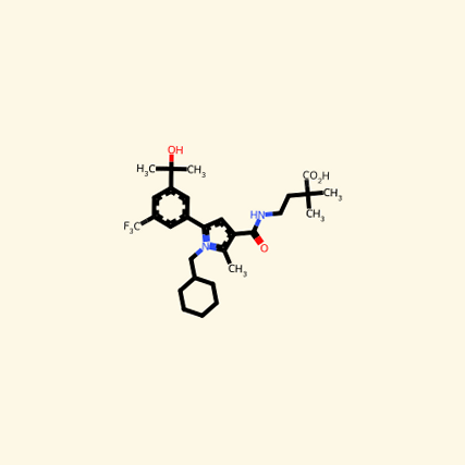 Cc1c(C(=O)NCCC(C)(C)C(=O)O)cc(-c2cc(C(C)(C)O)cc(C(F)(F)F)c2)n1CC1CCCCC1